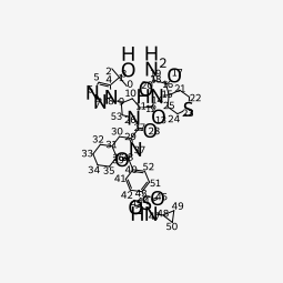 CC(C)(O)c1cnnn1[C@H]1C[C@@H](C(=O)NC2(C(=O)C(N)=O)CCSCC2)N(C(=O)/C(CC2CCCCC2)=N/C(=O)c2ccc(S(=O)(=O)NC3CC3)cc2)C1